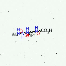 CCC(C)NCC(=O)NCC(=O)N[C@@H](CCCCNC(=O)CCC(=O)O)C(=O)C(C)C